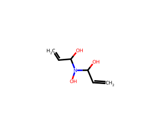 C=CC(O)N(O)C(O)C=C